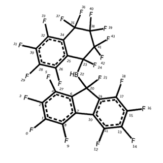 Fc1c(F)c(F)c2c(c1F)-c1c(F)c(F)c(F)c(F)c1C2(F)BC1(F)c2c(F)c(F)c(F)c(F)c2C(F)(F)C(F)(F)C1(F)F